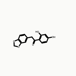 O=C(Cc1ccc2c(c1)OCO2)c1ccc(O)cc1O